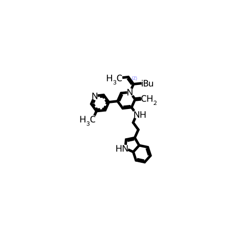 C=C1C(NCCC2=CNC3C=CC=CC23)=CC(c2cncc(C)c2)=CN1/C(=C\C)C(C)CC